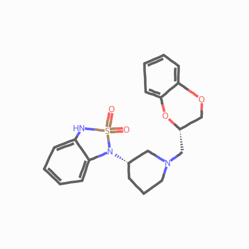 O=S1(=O)Nc2ccccc2N1[C@H]1CCCN(C[C@H]2COc3ccccc3O2)C1